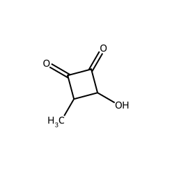 CC1C(=O)C(=O)C1O